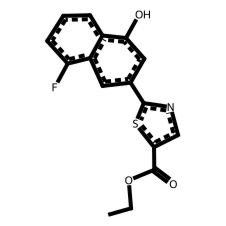 CCOC(=O)c1cnc(-c2cc(O)c3cccc(F)c3c2)s1